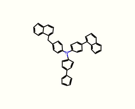 c1ccc(-c2ccc(N(c3ccc(Cc4cccc5ccccc45)cc3)c3ccc(-c4cccc5ccccc45)cc3)cc2)cc1